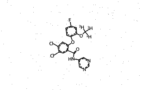 [2H]C([2H])([2H])Oc1cc(F)ccc1Oc1cc(Cl)c(Cl)cc1C(=O)Nc1cncnc1